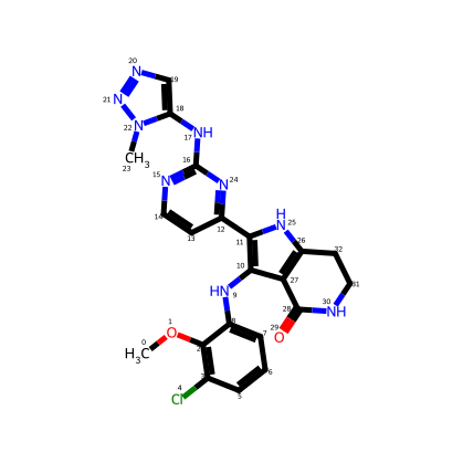 COc1c(Cl)cccc1Nc1c(-c2ccnc(Nc3cnnn3C)n2)[nH]c2c1C(=O)NCC2